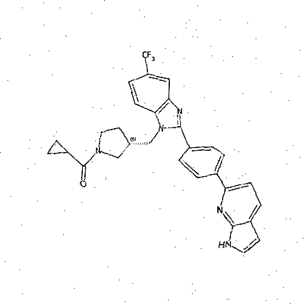 O=C(C1CC1)N1CC[C@H](Cn2c(-c3ccc(-c4ccc5cc[nH]c5n4)cc3)nc3cc(C(F)(F)F)ccc32)C1